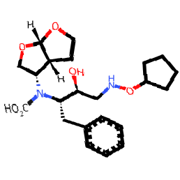 O=C(O)N([C@@H]1CO[C@@H]2OCC[C@@H]21)[C@@H](Cc1ccccc1)[C@@H](O)CNOC1CCCC1